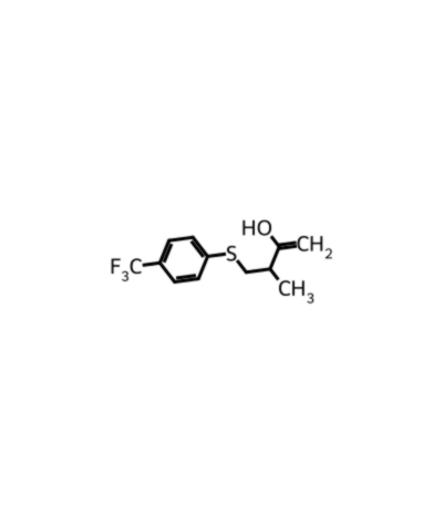 C=C(O)C(C)CSc1ccc(C(F)(F)F)cc1